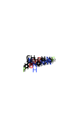 Cc1cc(-c2ccc(F)cc2)c(C(=O)C(=O)Nc2ccc3c(c2)OC[C@H]2CN(c4ncc(F)cn4)CCN32)n1C